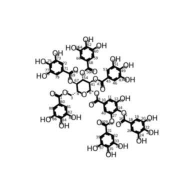 O=C(OC[C@H]1O[C@@H](OC(=O)c2cc(O)c(OC(=O)c3cc(O)c(O)c(O)c3)c(OC(=O)c3cc(O)c(O)c(O)c3)c2)[C@H](OC(=O)c2cc(O)c(O)c(O)c2)[C@@H](OC(=O)c2cc(O)c(O)c(O)c2)[C@@H]1OC(=O)c1cc(O)c(O)c(O)c1)c1cc(O)c(O)c(O)c1